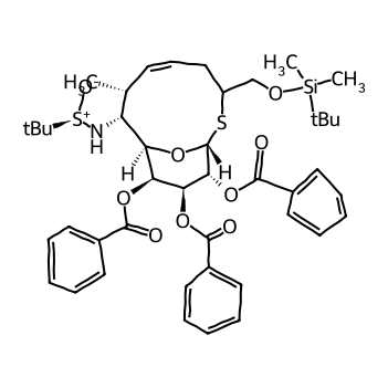 C[C@@H]1/C=C\CC(CO[Si](C)(C)C(C)(C)C)S[C@H]2O[C@H]([C@@H]1N[S@+]([O-])C(C)(C)C)[C@H](OC(=O)c1ccccc1)[C@H](OC(=O)c1ccccc1)[C@H]2OC(=O)c1ccccc1